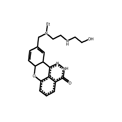 CCN(CCNCCO)CC1=CC2c3n[nH]c(=O)c4cccc(c34)OC2C=C1